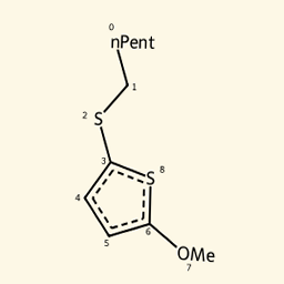 CCCCCCSc1ccc(OC)s1